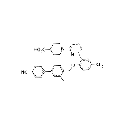 Cc1cc(-c2ccc(C#N)cc2)ccc1COc1ccc(C(F)(F)F)cc1-c1cccc(N2CCC(C(=O)O)CC2)n1